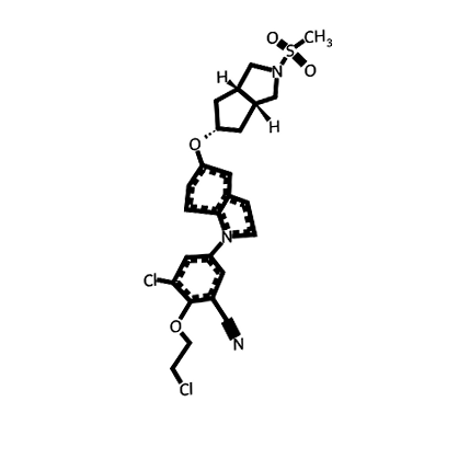 CS(=O)(=O)N1C[C@H]2C[C@@H](Oc3ccc4c(ccn4-c4cc(Cl)c(OCCCl)c(C#N)c4)c3)C[C@H]2C1